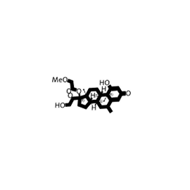 COCC(=O)O[C@]1(C(=O)CO)CC[C@H]2[C@@H]3CC(C)C4=CC(=O)C=C(O)[C@]4(C)[C@H]3CC[C@@]21C